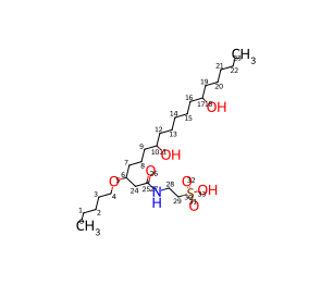 CCCCCOC(CCCC(O)CCCCCC(O)CCCCC)CC(=O)NCCS(=O)(=O)O